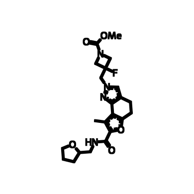 COC(=O)N1CC(F)(Cn2cc3c(n2)-c2c(oc(C(=O)NCC4CCCO4)c2C)CC3)C1